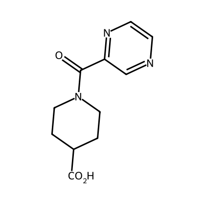 O=C(O)C1CCN(C(=O)c2cnccn2)CC1